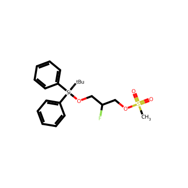 CC(C)(C)[Si](OCC(F)COS(C)(=O)=O)(c1ccccc1)c1ccccc1